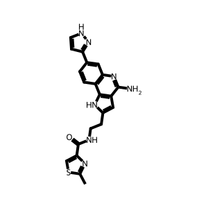 Cc1nc(C(=O)NCCc2cc3c(N)nc4cc(-c5cc[nH]n5)ccc4c3[nH]2)cs1